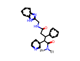 CCN(C(=O)C(c1cccnc1)C(CC(=O)NCc1nc2ccccc2[nH]1)c1ccccc1)C(C)C